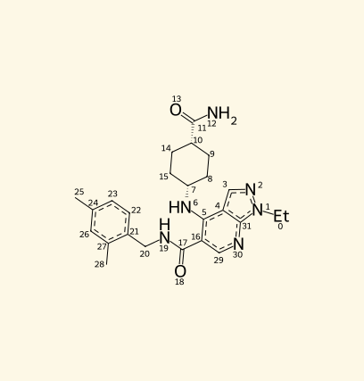 CCn1ncc2c(N[C@H]3CC[C@@H](C(N)=O)CC3)c(C(=O)NCc3ccc(C)cc3C)cnc21